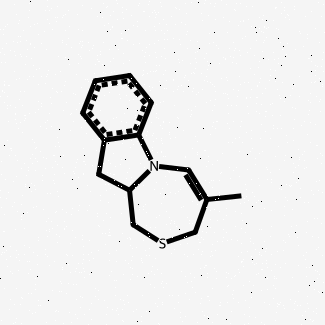 CC1=CN2c3ccccc3CC2CSC1